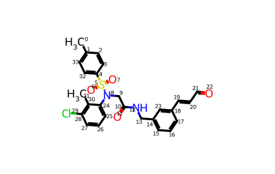 Cc1ccc(S(=O)(=O)N(CC(=O)NCc2cccc(/C=C/C=O)c2)c2cccc(Cl)c2C)cc1